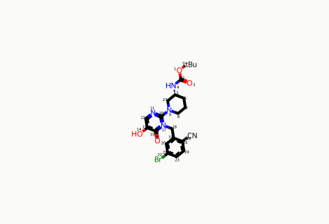 CC(C)(C)OC(=O)N[C@@H]1CCCN(c2ncc(O)c(=O)n2Cc2cc(Br)ccc2C#N)C1